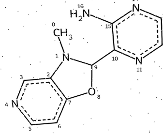 CN1c2cnccc2OC1c1nccnc1N